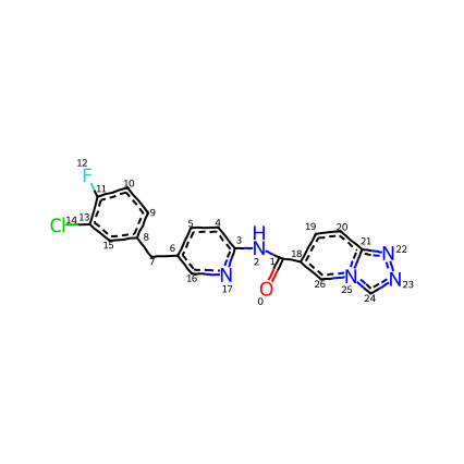 O=C(Nc1ccc(Cc2ccc(F)c(Cl)c2)cn1)c1ccc2nncn2c1